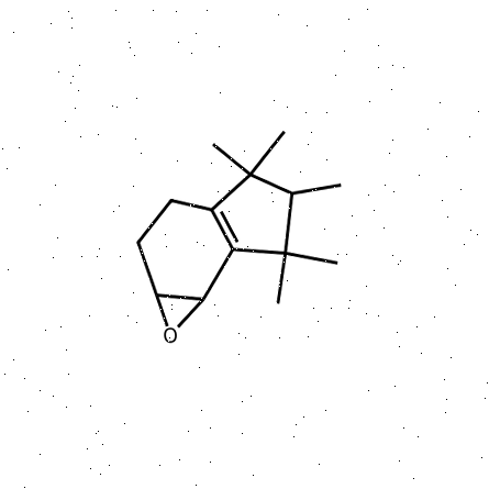 CC1C(C)(C)C2=C(C3OC3CC2)C1(C)C